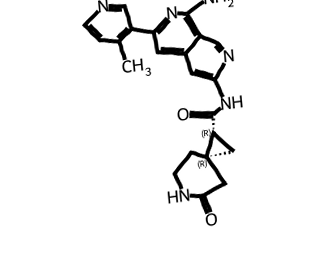 Cc1ccncc1-c1cc2cc(NC(=O)[C@@H]3C[C@]34CCNC(=O)C4)ncc2c(N)n1